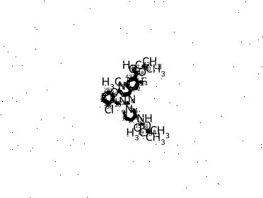 Cn1c(=O)c2c(nc(N3CCC[C@@H](NC(=O)OC(C)(C)C)C3)n2Cc2ccccc2Cl)c2cc(F)c(C(=O)OC(C)(C)C)cc21